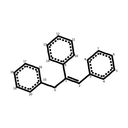 [CH](C(=Cc1ccccc1)c1ccccc1)c1ccccc1